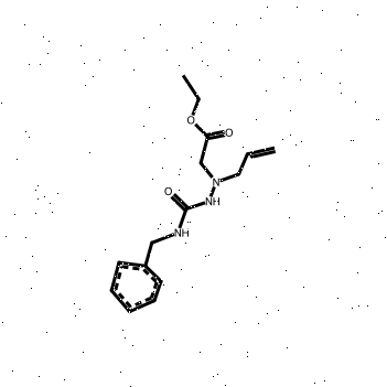 C=CCN(CC(=O)OCC)NC(=O)NCc1ccccc1